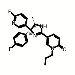 CCCn1cc(C2=N[C@@](c3ccc(F)cc3)(c3ccc(F)nc3)[C@H](C)N2)ccc1=O